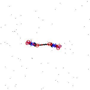 Cc1cc(OCCCCCCCCCCCCOc2cc(C)c(N=Nc3ccc([N+](=O)[O-])cc3)cc2C)c(C)cc1N=Nc1ccc([N+](=O)[O-])cc1